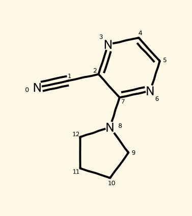 N#Cc1nccnc1N1CCCC1